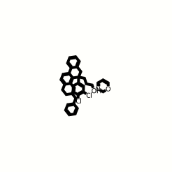 C1=COCN=C1.OCCCC1(c2ccc(Cl)c(Cl)c2)Cc2ccccc2-c2ccc3c(c21)CC(Cc1ccccc1)CC3